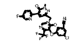 Cn1nc(Cn2cnc(C(F)(F)F)c(Oc3cc(Cl)cc(C#N)c3)c2=O)cc(-c2ccc(F)cn2)c1=O